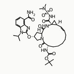 CC(C)n1c(O[C@@H]2C[C@H]3C(=O)N[C@]4(C(=O)NS(=O)(=O)N(C)C)C[C@H]4/C=C\CCCCC[C@H](NC(=O)OC(C)(C)C)C(=O)N3C2)nc2c(C(N)=O)cccc21